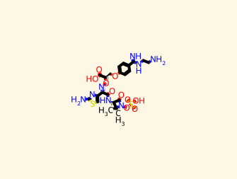 CC1(C)[C@H](NC(=O)/C(=N\O[C@H](COc2ccc(C(=N)NCCN)cc2)C(=O)O)c2csc(N)n2)C(=O)N1OS(=O)(=O)O